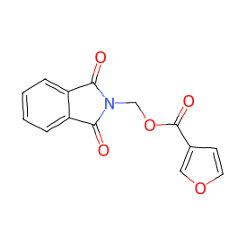 O=C(OCN1C(=O)c2ccccc2C1=O)c1ccoc1